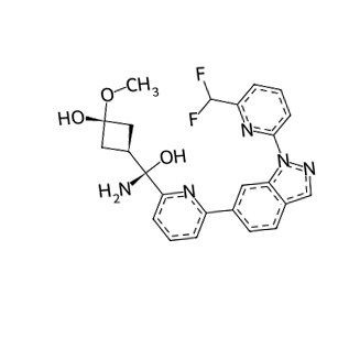 CO[C@]1(O)C[C@@H]([C@](N)(O)c2cccc(-c3ccc4cnn(-c5cccc(C(F)F)n5)c4c3)n2)C1